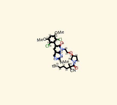 CNc1ncc2cc(-c3c(Cl)c(OC)cc(OC)c3Cl)c(=O)n(CCOC3CCN(C(=O)C(C)(C#N)CCCC(C)(C)C)C3)c2n1